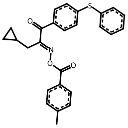 Cc1ccc(C(=O)O/N=C(\CC2CC2)C(=O)c2ccc(Sc3ccccc3)cc2)cc1